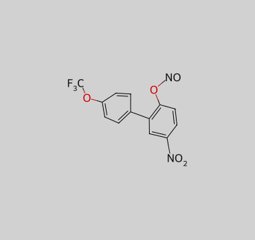 O=NOc1ccc([N+](=O)[O-])cc1-c1ccc(OC(F)(F)F)cc1